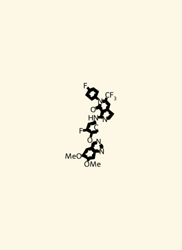 COc1cc2ncnc(Oc3ccc(Nc4nccc5cc(C(F)(F)F)n(-c6ccc(F)cc6)c(=O)c45)cc3F)c2cc1OC